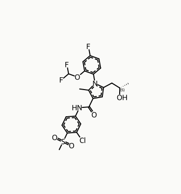 Cc1c(C(=O)Nc2ccc(S(C)(=O)=O)c(Cl)c2)cc(C[C@H](C)O)n1-c1ccc(F)cc1OC(F)F